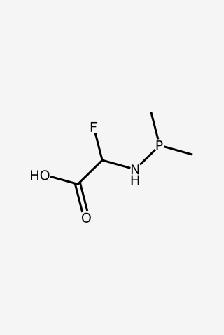 CP(C)NC(F)C(=O)O